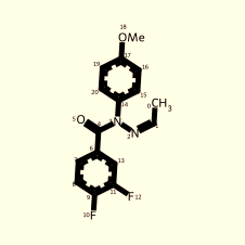 C/C=N\N(C(=O)c1ccc(F)c(F)c1)c1ccc(OC)cc1